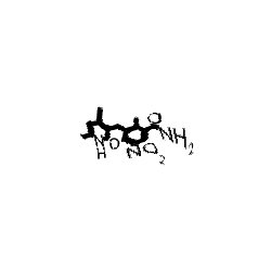 Cc1cc(C)c(Cc2cc([N+](=O)[O-])cc(C(N)=O)c2C)c(=O)[nH]1